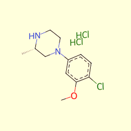 COc1cc(N2CCN[C@@H](C)C2)ccc1Cl.Cl.Cl